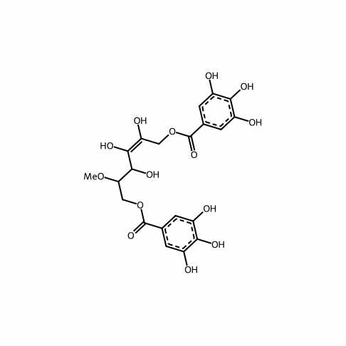 COC(COC(=O)c1cc(O)c(O)c(O)c1)C(O)/C(O)=C(/O)COC(=O)c1cc(O)c(O)c(O)c1